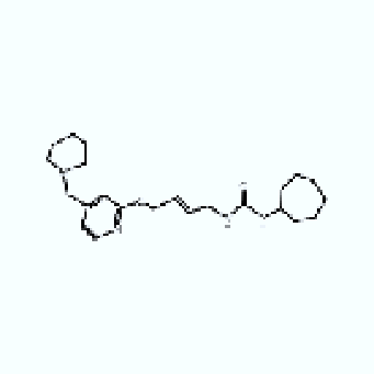 O=C(NCC=CCOc1cc(CN2CCCCC2)ccn1)NC1CCCCCC1